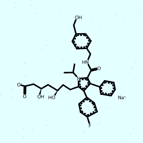 CC(C)n1c(CC[C@@H](O)C[C@@H](O)CC(=O)[O-])c(-c2ccc(F)cc2)c(-c2ccccc2)c1C(=O)NCc1ccc(CO)cc1.[Na+]